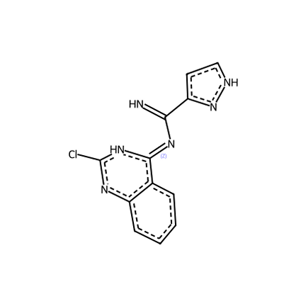 N=C(/N=c1\[nH]c(Cl)nc2ccccc12)c1cc[nH]n1